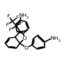 Nc1ccc(OC2(Oc3ccc(N)cc3)C=CC=CC2C(F)C(F)(F)C(F)(F)F)cc1